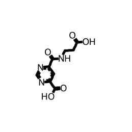 O=C(O)CCNC(=O)c1cc(C(=O)O)ncn1